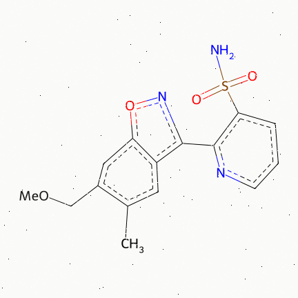 COCc1cc2onc(-c3ncccc3S(N)(=O)=O)c2cc1C